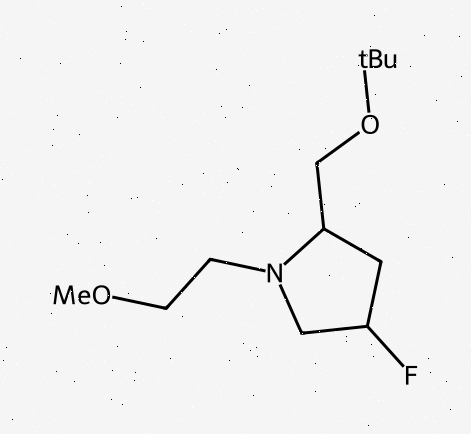 COCCN1CC(F)CC1COC(C)(C)C